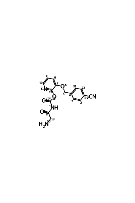 N#Cc1ccc(COc2cccnc2OC(=O)NC(=O)CN)cc1